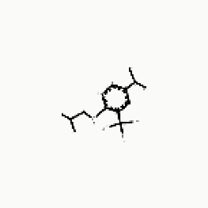 CC(C)COc1ncc(C(C)C)cc1C(F)(F)F